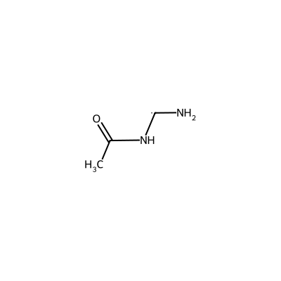 CC(=O)N[CH]N